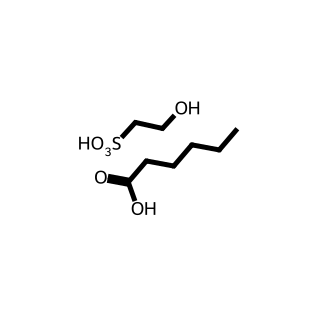 CCCCCC(=O)O.O=S(=O)(O)CCO